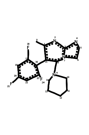 Cc1nc2nccn2c(N2CCCCC2)c1-c1c(F)cc(F)cc1F